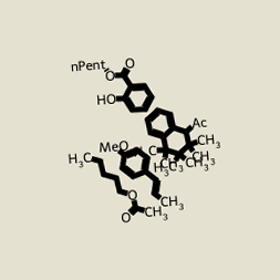 CC(=O)C1c2ccccc2C(C)(C)C(C)(C)C1(C)C.CC=Cc1ccc(OC)cc1.CCCCCOC(=O)c1ccccc1O.CCCCCOC(C)=O